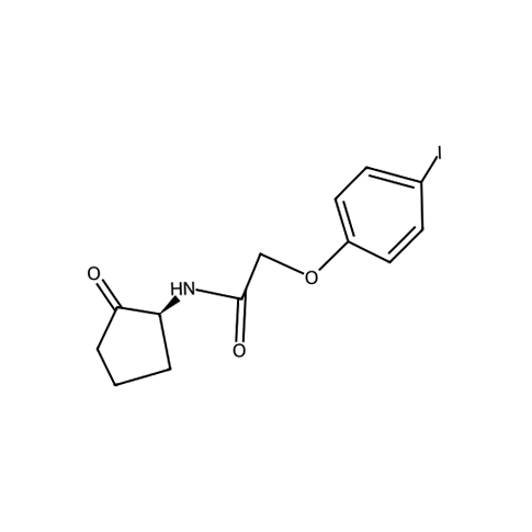 O=C(COc1ccc(I)cc1)N[C@H]1CCCC1=O